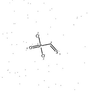 O=P(Cl)(Cl)C=S